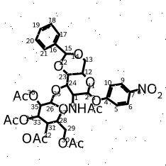 CC(=O)NC1C(Oc2ccc([N+](=O)[O-])cc2)OC2COC(c3ccccc3)OC2C1OC1OC(COC(C)=O)C(OC(C)=O)C(OC(C)=O)C1OC(C)=O